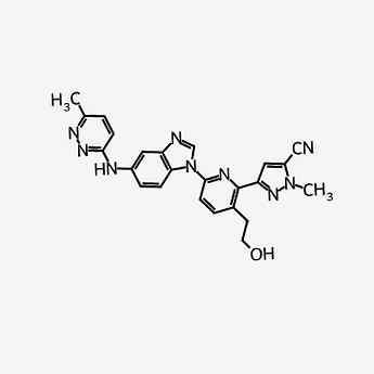 Cc1ccc(Nc2ccc3c(c2)ncn3-c2ccc(CCO)c(-c3cc(C#N)n(C)n3)n2)nn1